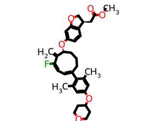 C=C1/C(F)=C\C=C(\c2c(C)cc(OC3CCOCC3)cc2C)CCC[C@H]1Oc1ccc2c(c1)OC[C@H]2CC(=O)OC